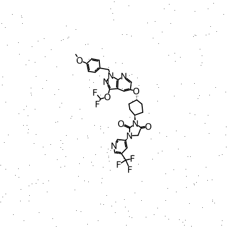 COc1ccc(Cn2nc(OC(F)F)c3cc(O[C@H]4CC[C@H](N5C(=O)CN(c6cncc(C(F)(F)F)c6)C5=O)CC4)cnc32)cc1